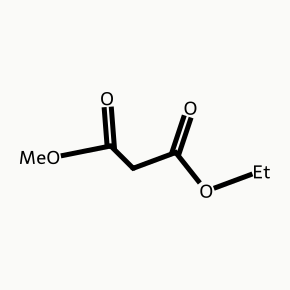 [CH2]COC(=O)CC(=O)OC